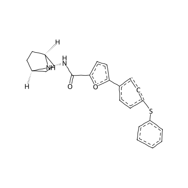 O=C(N[C@@H]1C[C@H]2CC[C@@H]1N2)c1ccc(-c2ccc(Sc3ccccc3)cc2)o1